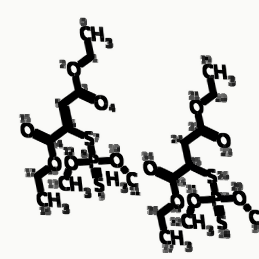 CCOC(=O)C=C(SP(=S)(OC)OC)C(=O)OCC.CCOC(=O)CC(SP(=S)(OC)OC)C(=O)OCC